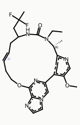 CCN1C(=O)NC(CC(C)(F)F)C/C=C/CCOc2nc(cn3ccnc23)-c2cc(ncc2OC)[C@H]1C